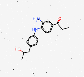 CCC(=O)c1ccc(Nc2ccc(CC(C)O)cc2)c(N)c1